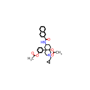 CC(=O)Oc1cccc(C23CCN(CC4CC4)CC2(OC(C)=O)CCC(NC(=O)c2ccc4ccccc4c2)C3)c1